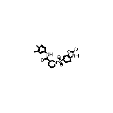 Cc1ccc(NC(=O)C2CCCN(S(=O)(=O)c3ccc4[nH]c(=O)oc4c3)C2)cc1C